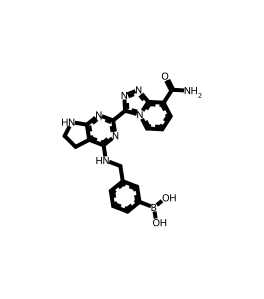 NC(=O)c1cccn2c(-c3nc4c(c(NCc5cccc(B(O)O)c5)n3)CCN4)nnc12